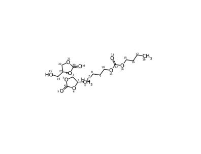 CC1COC(=O)O1.CCCCOC(=O)OCCCC.O=C1OCC(CO)O1